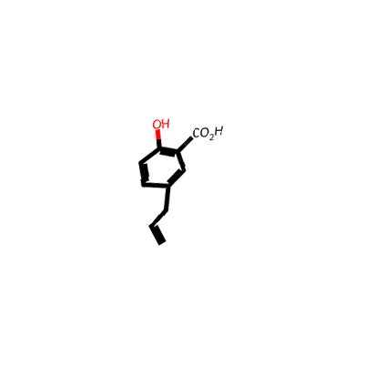 C=CCc1ccc(O)c(C(=O)O)c1